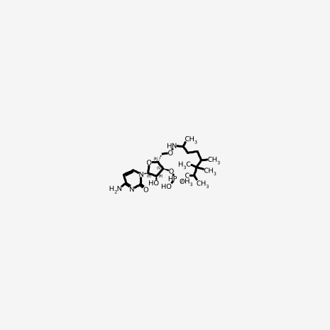 CC(CCC(C)C(C)(C)C(C)C)NOC[C@H]1O[C@@H](n2ccc(N)nc2=O)[C@H](O)[C@@H]1O[PH](=O)O